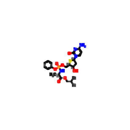 CCC(CC)COC(=O)[C@H](C)NP(=O)(OC[C@H]1S[C@@H](n2ccc(N)nc2=O)C[C@H]1O)Oc1ccccc1